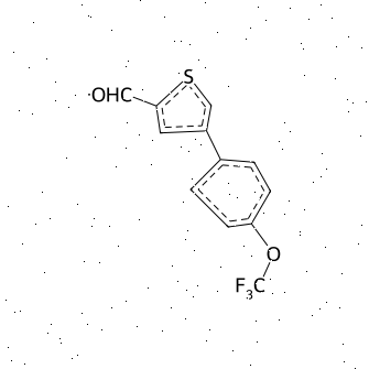 O=[C]c1cc(-c2ccc(OC(F)(F)F)cc2)cs1